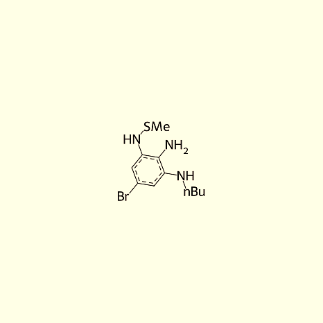 CCCCNc1cc(Br)cc(NSC)c1N